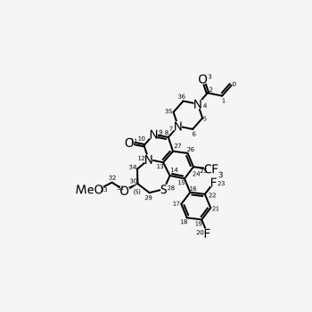 C=CC(=O)N1CCN(c2nc(=O)n3c4c(c(-c5ccc(F)cc5F)c(C(F)(F)F)cc24)SC[C@@H](OCOC)C3)CC1